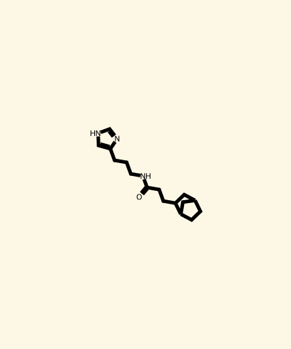 O=C(CCC1CC2CCC1C2)NCCCc1c[nH]cn1